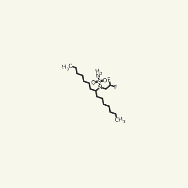 CCCCCCCC(CCCCCCC)N(CC(F)F)S(N)(=O)=O